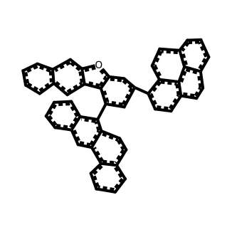 c1ccc2cc3c(cc2c1)oc1cc(-c2ccc4ccc5cccc6ccc2c4c56)cc(-c2c4ccccc4cc4c2ccc2ccccc24)c13